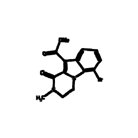 COC(=O)c1c2n(c3c(Br)cccc13)CCN(C)C2=O